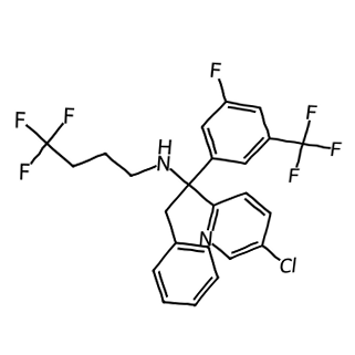 Fc1cc(C(F)(F)F)cc(C(Cc2ccccc2)(NCCCC(F)(F)F)c2ccc(Cl)cn2)c1